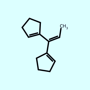 CC=C(C1=CCCC1)C1=CCCC1